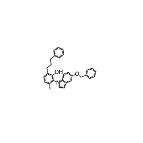 Cc1ccc(CCCc2ccccc2)c(O)c1-n1ccc2cc(OCc3ccccc3)ccc21